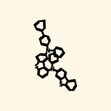 c1ccc(-c2ccc(N(c3ccccc3)c3ccc4sc5cccc(N(c6ccccc6)c6ccc7c(c6)sc6ccccc67)c5c4c3)cc2)cc1